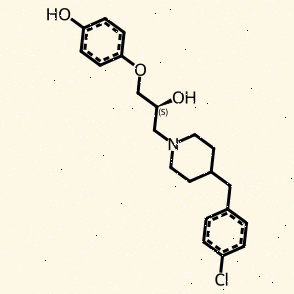 Oc1ccc(OC[C@@H](O)CN2CCC(Cc3ccc(Cl)cc3)CC2)cc1